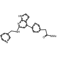 CNC(=O)Cc1ccc(-c2cc(NCc3cccnc3)nc3[nH]ccc23)cc1